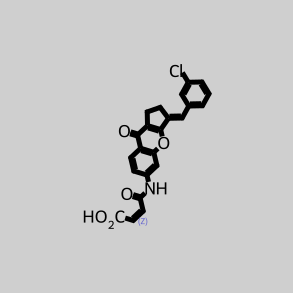 O=C(O)/C=C\C(=O)Nc1ccc2c(=O)c3c(oc2c1)C(=Cc1cccc(Cl)c1)CC3